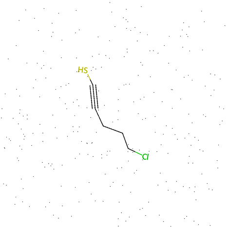 SC#CCCCCl